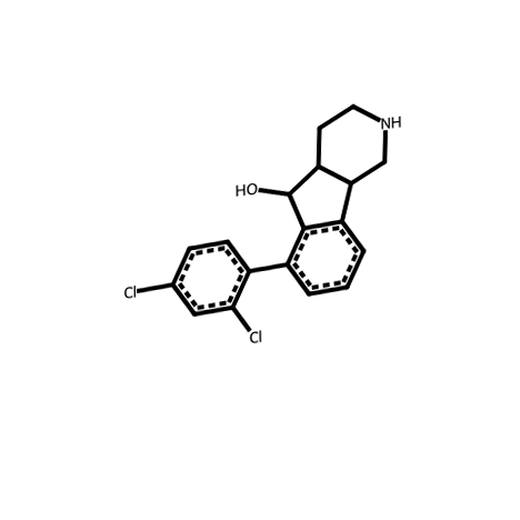 OC1c2c(-c3ccc(Cl)cc3Cl)cccc2C2CNCCC12